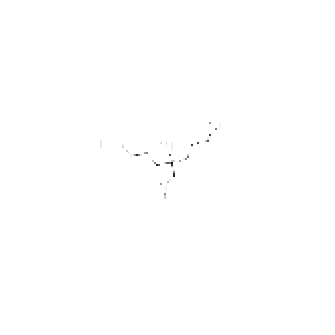 CNCC(CCCN)(CCCN)NC